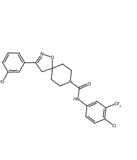 COc1cccc(C2=NOC3(CCN(C(=O)Nc4ccc(Cl)c(C(F)(F)F)c4)CC3)C2)c1